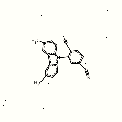 Cc1ccc2c(c1)c1cc(C)ccc1n2-c1cc(C#N)ccc1C#N